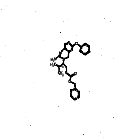 CC(C)[C@H](CCC(=O)OCc1ccccc1)N1Cc2cc(Oc3ccccc3)ncc2N=C1N